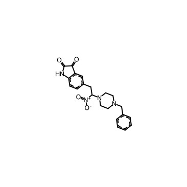 O=C1Nc2ccc(CC(N3CCN(Cc4ccccc4)CC3)[N+](=O)[O-])cc2C1=O